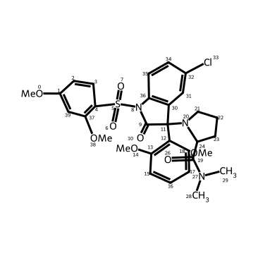 COc1ccc(S(=O)(=O)N2C(=O)C(c3c(OC)cccc3OC)(N3CCCC3C(=O)N(C)C)c3cc(Cl)ccc32)c(OC)c1